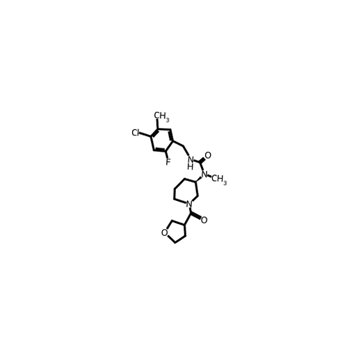 Cc1cc(CNC(=O)N(C)[C@@H]2CCCN(C(=O)C3CCOC3)C2)c(F)cc1Cl